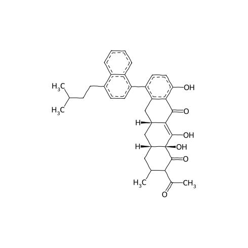 CC(=O)C1C(=O)[C@@]2(O)C(O)=C3C(=O)c4c(O)ccc(-c5ccc(CCC(C)C)c6ccccc56)c4C[C@H]3C[C@H]2CC1C